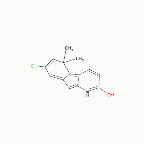 CC1(C)C=C(Cl)C=C2C=c3[siH]c(O)ccc3=C21